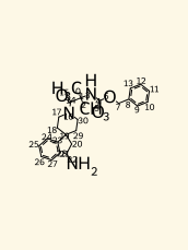 CC(C)(NC(=O)OCc1ccccc1)C(=O)N1CCC(CCN)(c2ccccc2)CC1